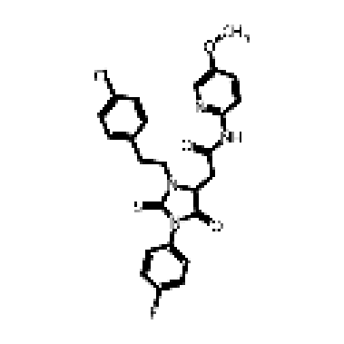 COc1ccc(NC(=O)CC2C(=O)N(c3ccc(F)cc3)C(=S)N2CCc2ccc(Cl)cc2)nc1